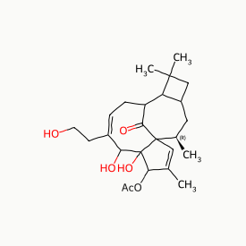 CC(=O)OC1C(C)=CC23C(=O)C(CC=C(CCO)C(O)C12O)C1C(C[C@H]3C)CC1(C)C